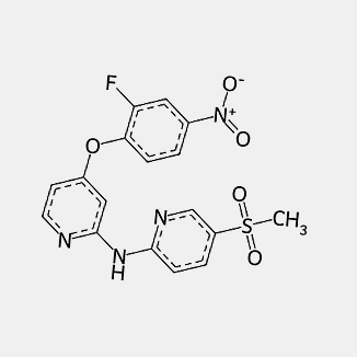 CS(=O)(=O)c1ccc(Nc2cc(Oc3ccc([N+](=O)[O-])cc3F)ccn2)nc1